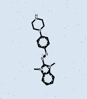 Cn1c(/N=N/c2ccc(N3CCNCC3)cc2)[n+](C)c2ccccc21